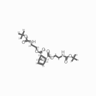 CC(C)(C)OC(=O)NCCOC(=O)[C@@H]1C2C=CC(O2)[C@@H]1C(=O)OCCNC(=O)OC(C)(C)C